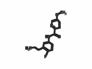 CCCc1cc(NC(=O)c2ccc(OC)cn2)ccc1F